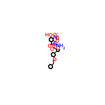 NNC(=O)c1c(C(=O)OC(=O)c2occc2-c2cccc(OCCc3ccccc3)c2)ccc(O)c1[N+](=O)[O-]